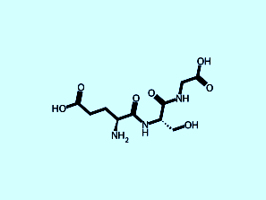 N[C@@H](CCC(=O)O)C(=O)N[C@@H](CO)C(=O)NCC(=O)O